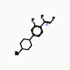 F/C=C(\F)c1ccc(C2CCC(Br)CC2)cc1F